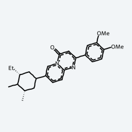 CC[C@@H]1CC(c2ccc3nc(-c4ccc(OC)c(OC)c4)cc(=O)n3c2)C[C@H](C)C1C